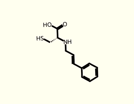 O=C(O)[C@@H](CS)NC/C=C/c1ccccc1